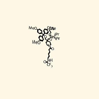 COc1ccc(C(OCC2(COP(OCCC#N)N(C(C)C)C(C)C)CCN(C(=O)CCCCCNC(=O)C(F)(F)F)CC2)(c2ccc(OC)cc2)c2ccc(OC)cc2)cc1